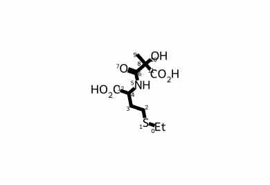 CCSCCC(NC(=O)C(C)(O)C(=O)O)C(=O)O